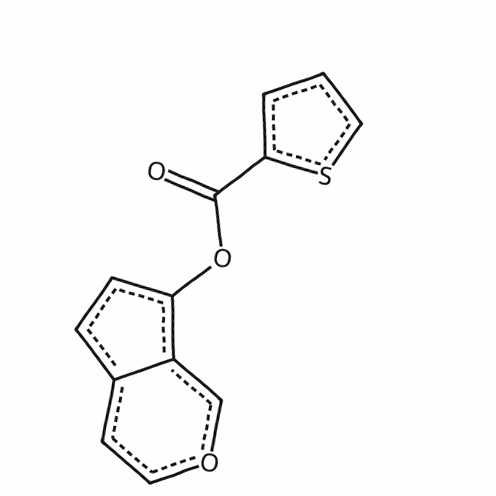 O=C(Oc1ccc2ccocc1-2)c1cccs1